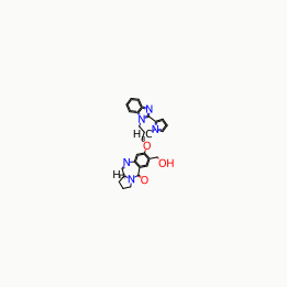 Cn1cccc1-c1nc2ccccc2n1CCCOc1cc2c(cc1CO)C(=O)N1CCC[C@H]1C=N2